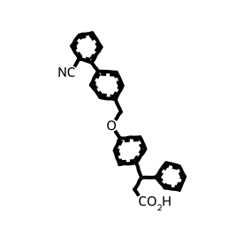 N#Cc1ccccc1-c1ccc(COc2ccc(C(CC(=O)O)c3ccccc3)cc2)cc1